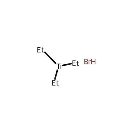 Br.C[CH2][Ti]([CH2]C)[CH2]C